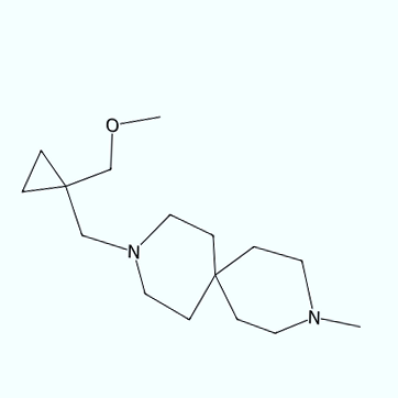 COCC1(CN2CCC3(CCN(C)CC3)CC2)CC1